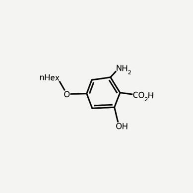 CCCCCCOc1cc(N)c(C(=O)O)c(O)c1